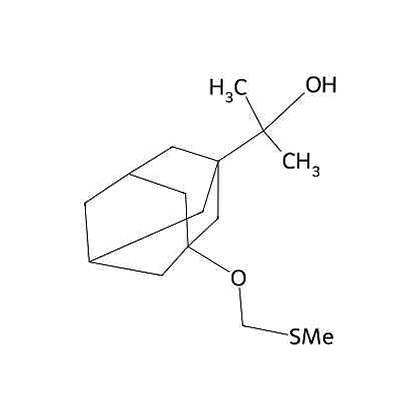 CSCOC12CC3CC(C1)CC(C(C)(C)O)(C3)C2